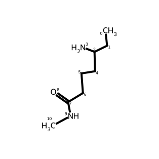 CCC(N)CCCC(=O)NC